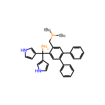 CC(C)(C)P(Cc1cc(-c2ccccc2)c(-c2ccccc2)cc1C(P)(c1cc[nH]c1)c1cc[nH]c1)C(C)(C)C